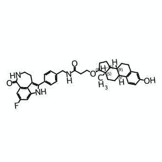 C[C@]12CC[C@@H]3c4ccc(O)cc4CC[C@H]3[C@@H]1CC[C@@H]2OCCC(=O)NCc1ccc(-c2[nH]c3cc(F)cc4c3c2CCNC4=O)cc1